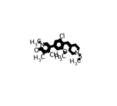 COc1cc(-c2cn(C)c(=O)c(C)c2C)cc(Cl)c1C=C1CCN(SC)CC1